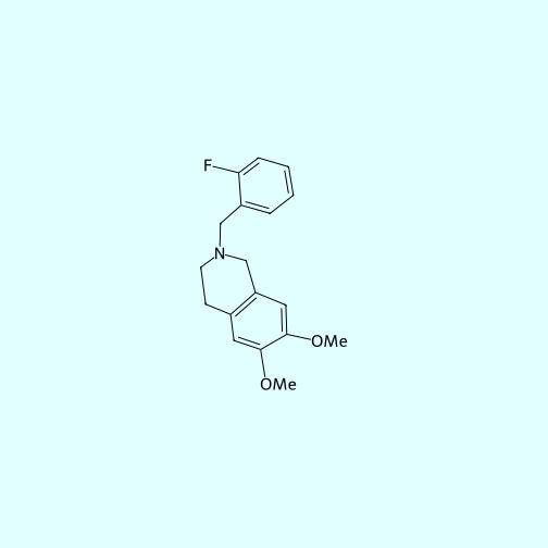 COc1cc2c(cc1OC)CN(Cc1ccccc1F)CC2